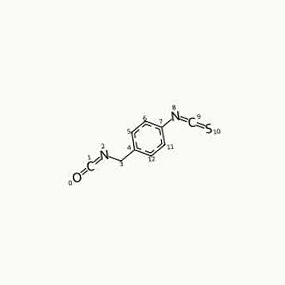 O=C=NCc1ccc(N=C=S)cc1